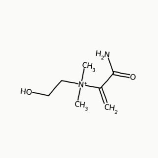 C=C(C(N)=O)[N+](C)(C)CCO